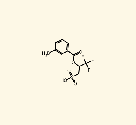 Bc1cccc(C(=O)OC(CS(=O)(=O)O)C(F)(F)F)c1